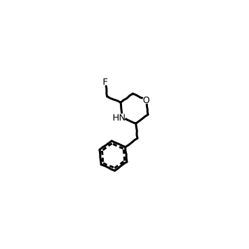 FCC1COCC(Cc2ccccc2)N1